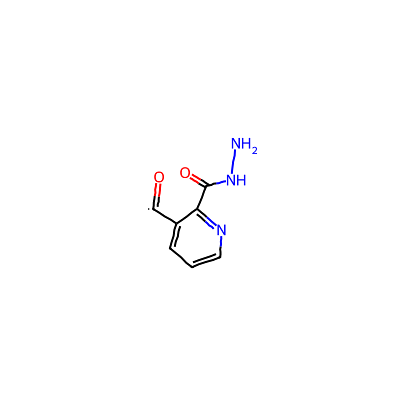 NNC(=O)c1ncccc1[C]=O